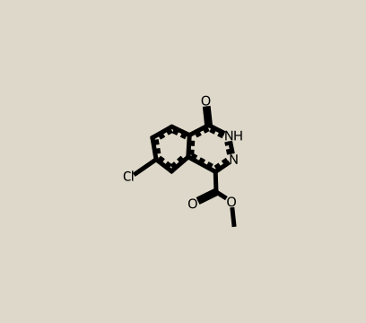 COC(=O)c1n[nH]c(=O)c2ccc(Cl)cc12